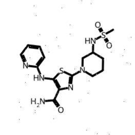 CS(=O)(=O)NC1CCCN(c2nc(C(N)=O)c(Nc3ccccn3)s2)C1